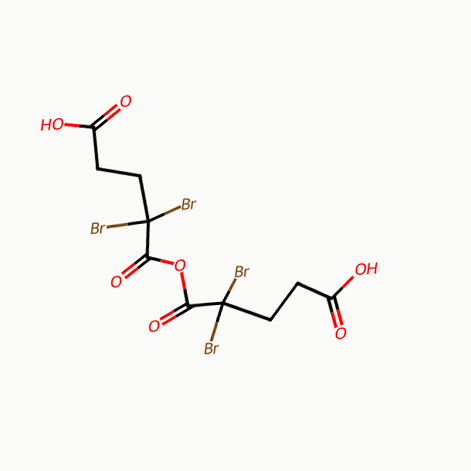 O=C(O)CCC(Br)(Br)C(=O)OC(=O)C(Br)(Br)CCC(=O)O